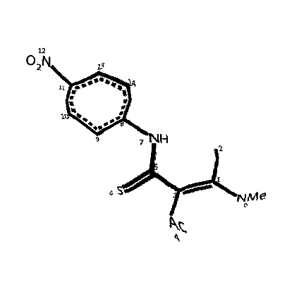 CNC(C)=C(C(C)=O)C(=S)Nc1ccc([N+](=O)[O-])cc1